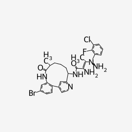 C/C(=C(/N)C(=O)NC1CCCC(C)C(=O)Nc2cc(Br)ccc2-c2ccnc1c2)N(N)c1cccc(Cl)c1F